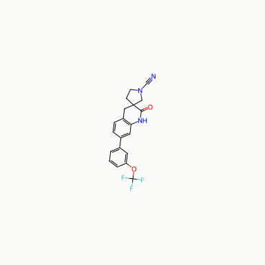 N#CN1CCC2(Cc3ccc(-c4cccc(OC(F)(F)F)c4)cc3NC2=O)C1